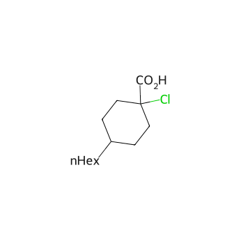 CCCCCCC1CCC(Cl)(C(=O)O)CC1